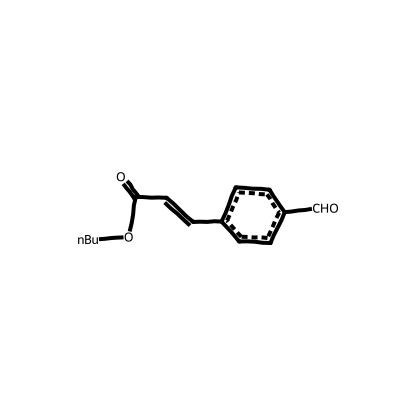 CCCCOC(=O)C=Cc1ccc(C=O)cc1